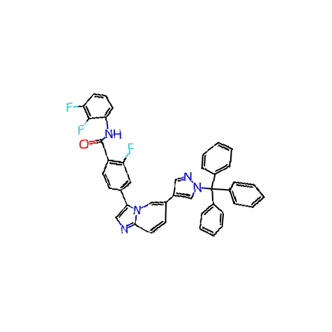 O=C(Nc1cccc(F)c1F)c1ccc(-c2cnc3ccc(-c4cnn(C(c5ccccc5)(c5ccccc5)c5ccccc5)c4)cn23)cc1F